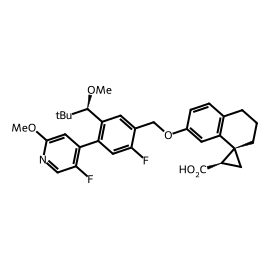 COc1cc(-c2cc(F)c(COc3ccc4c(c3)[C@]3(CCC4)C[C@H]3C(=O)O)cc2[C@H](OC)C(C)(C)C)c(F)cn1